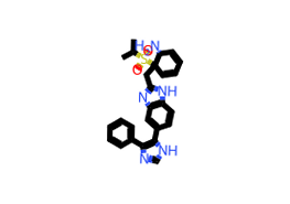 CC(C)S(=O)(=O)C1(Cc2nc3cc(-c4[nH]cnc4-c4ccccc4)ccc3[nH]2)C=CC=CC1N